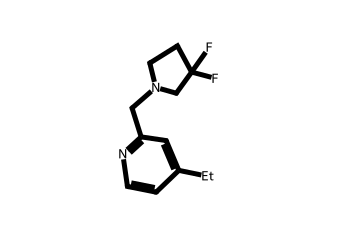 CCc1ccnc(CN2CCC(F)(F)C2)c1